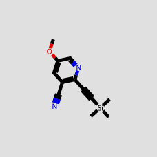 COc1cnc(C#C[Si](C)(C)C)c(C#N)c1